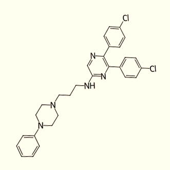 Clc1ccc(-c2ncc(NCCCN3CCN(c4ccccc4)CC3)nc2-c2ccc(Cl)cc2)cc1